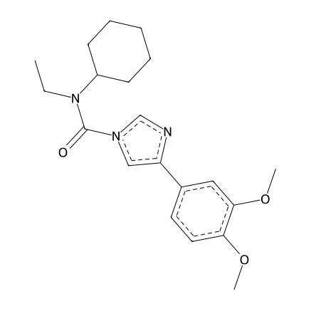 CCN(C(=O)n1cnc(-c2ccc(OC)c(OC)c2)c1)C1CCCCC1